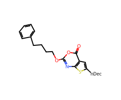 CCCCCCCCCCc1cc2c(=O)oc(OCCCCc3ccccc3)nc2s1